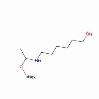 CCCCCCOC(C)NCCCCCCO